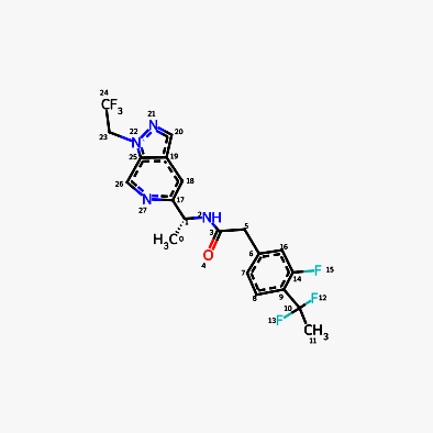 C[C@@H](NC(=O)Cc1ccc(C(C)(F)F)c(F)c1)c1cc2cnn(CC(F)(F)F)c2cn1